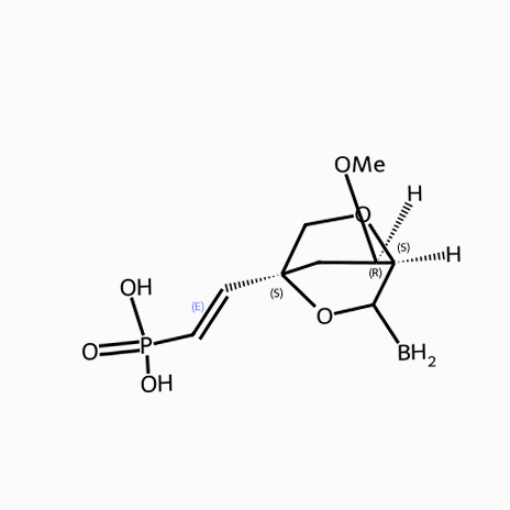 BC1O[C@@]2(/C=C/P(=O)(O)O)CO[C@@H]1[C@H](OC)C2